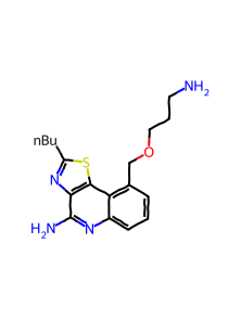 CCCCc1nc2c(N)nc3cccc(COCCCN)c3c2s1